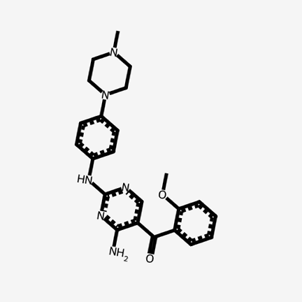 COc1ccccc1C(=O)c1cnc(Nc2ccc(N3CCN(C)CC3)cc2)nc1N